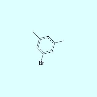 Cc1[c]c(Br)cc(C)c1